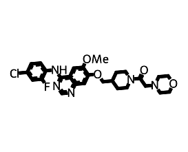 COc1cc2c(Nc3ccc(Cl)cc3F)ncnc2cc1OCC1CCN(C(=O)CN2CCOCC2)CC1